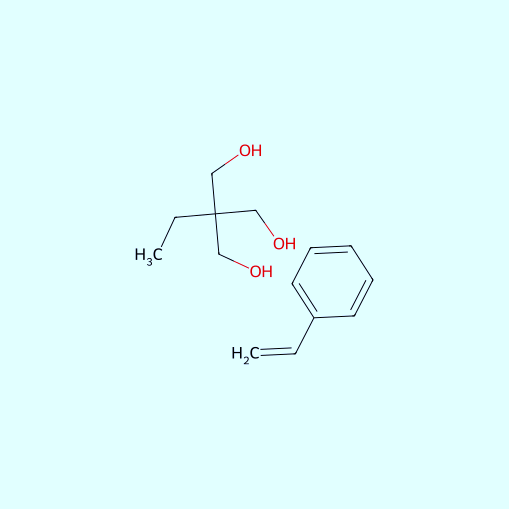 C=Cc1ccccc1.CCC(CO)(CO)CO